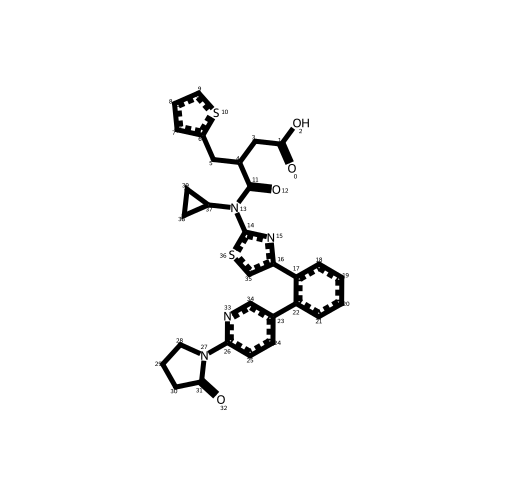 O=C(O)CC(Cc1cccs1)C(=O)N(c1nc(-c2ccccc2-c2ccc(N3CCCC3=O)nc2)cs1)C1CC1